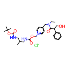 CCN(Cc1cc[n+](COC(=O)NCC(C)CNC(=O)OC(C)(C)C)cc1)C(=O)C(CO)c1ccccc1.[Cl-]